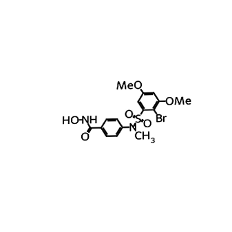 COc1cc(OC)c(Br)c(S(=O)(=O)N(C)c2ccc(C(=O)NO)cc2)c1